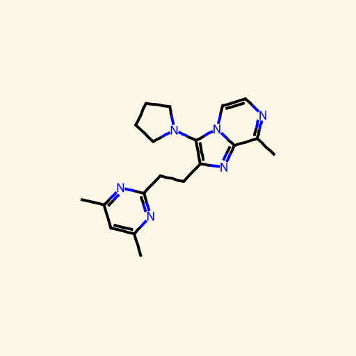 Cc1cc(C)nc(CCc2nc3c(C)nccn3c2N2CCCC2)n1